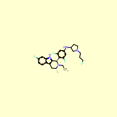 C[C@@H]1Cc2c([nH]c3cc(F)ccc23)[C@@H](c2c(F)cc(NC3CCN(CCCF)C3)cc2F)N1CC(F)(F)F